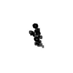 CC1(COc2ccc(S(C)(=O)=O)cc2C(=O)N2Cc3cn(-c4ccccc4)nc3C2)COC1